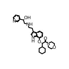 O=C([C@@H](Oc1cccc2c(CCNC[C@H](O)c3cccnc3)c[nH]c12)C1CCCCC1)N1CCOCC1